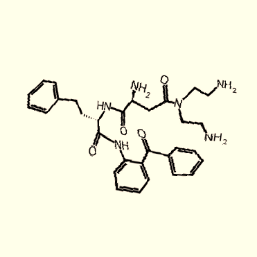 NCCN(CCN)C(=O)C[C@H](N)C(=O)N[C@@H](CCc1ccccc1)C(=O)Nc1ccccc1C(=O)c1ccccc1